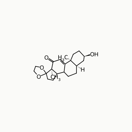 C[C@]12C(=O)C=C3C(CC[C@@H]4C[C@H](O)CC[C@]34C)C1CCC21OCCO1